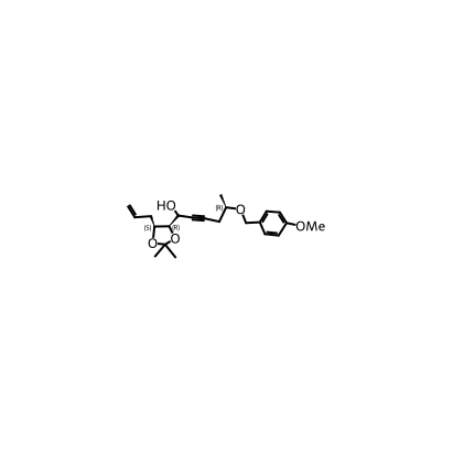 C=CC[C@@H]1OC(C)(C)O[C@@H]1C(O)C#CC[C@@H](C)OCc1ccc(OC)cc1